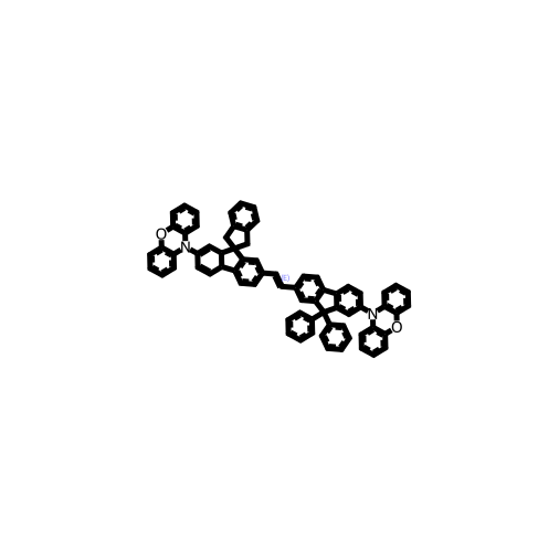 C1=CC2c3ccc(/C=C/c4ccc5c(c4)C(c4ccccc4)(c4ccccc4)c4cc(N6c7ccccc7Oc7ccccc76)ccc4-5)cc3C3(Cc4ccccc4C3)C2C=C1N1c2ccccc2Oc2ccccc21